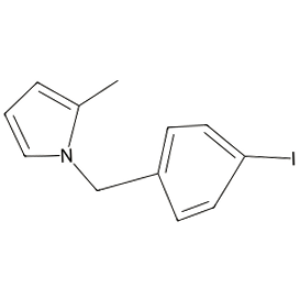 Cc1cccn1Cc1ccc(I)cc1